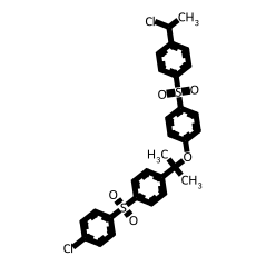 CC(Cl)c1ccc(S(=O)(=O)c2ccc(OC(C)(C)c3ccc(S(=O)(=O)c4ccc(Cl)cc4)cc3)cc2)cc1